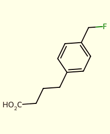 O=C(O)CCCc1ccc(CF)cc1